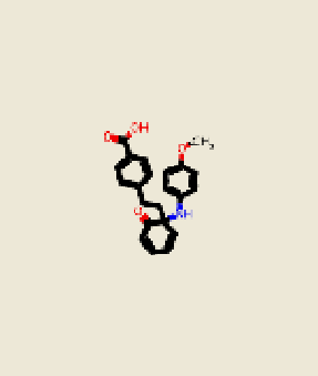 COc1ccc(NC2(CCc3ccc(C(=O)O)cc3)C=CC=CC2=O)cc1